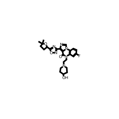 CC1(C)CCC(c2nc(-c3ncn4c3c(=O)n(CCN3CCC(O)CC3)c3cc(F)ccc34)no2)O1